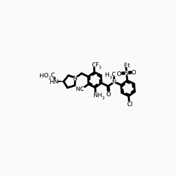 CCS(=O)(=O)c1ccc(Cl)cc1N(C)C(=O)c1cc(C(F)(F)F)c(CN2CC[C@@H](NC(=O)O)C2)c(C#N)c1N